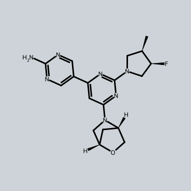 C[C@@H]1CN(c2nc(-c3cnc(N)nc3)cc(N3C[C@@H]4C[C@H]3CO4)n2)C[C@@H]1F